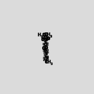 Cc1ccc(CCN2CCN(C(=O)Oc3ccc(CCN4C(=O)CC(C)(C)CC4=O)cc3)CC2)nc1